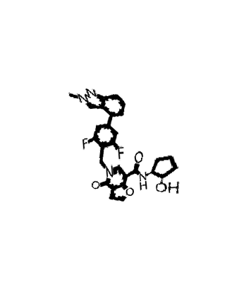 Cn1cc2c(-c3cc(F)c(Cn4cc(C(=O)N[C@H]5CCC[C@@H]5O)c5occc5c4=O)c(F)c3)cccc2n1